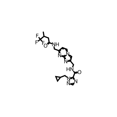 CC(CC(=O)NCc1ccn2cc(CNC(=O)c3ncnn3CC3CC3)nc2n1)C(F)(F)F